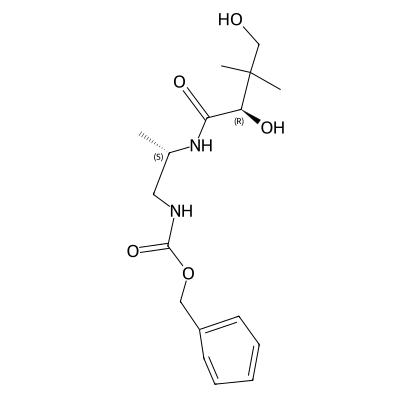 C[C@@H](CNC(=O)OCc1ccccc1)NC(=O)[C@H](O)C(C)(C)CO